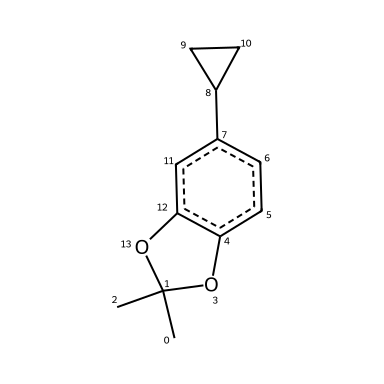 CC1(C)Oc2ccc(C3CC3)cc2O1